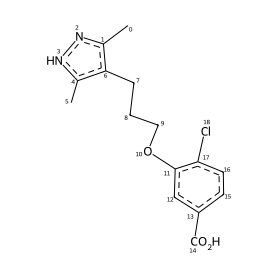 Cc1n[nH]c(C)c1CCCOc1cc(C(=O)O)ccc1Cl